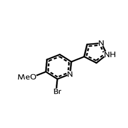 COc1ccc(-c2cn[nH]c2)nc1Br